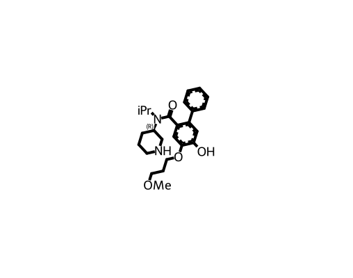 COCCCOc1cc(C(=O)N(C(C)C)[C@@H]2CCCNC2)c(-c2ccccc2)cc1O